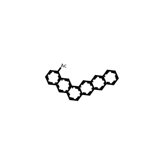 CC(=O)c1cccc2cc3ccc4cc5cc6ccccc6cc5cc4c3cc12